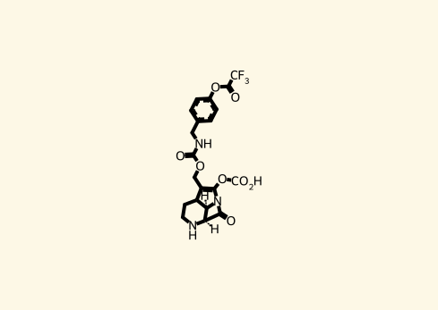 O=C(O)OC1=C(COC(=O)NCc2ccc(OC(=O)C(F)(F)F)cc2)C2CCN[C@@H]3C(=O)N1[C@H]23